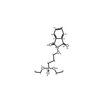 CCOP(=O)(CCCON1C(=O)c2ccccc2C1=O)OCC